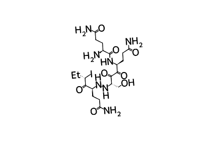 CC[C@H](I)C(=O)[C@H](CCC(N)=O)NN[C@@H](CO)C(=O)C(=O)[C@H](CCC(N)=O)NC(=O)[C@@H](N)CCC(N)=O